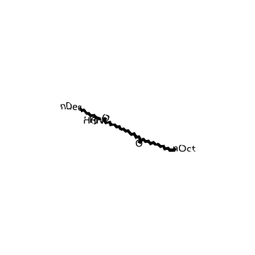 CCCCCCCC/C=C\CCCCCCCCCCCC(=O)CCCCCCCCCCCCCCC(=O)NC[C@@H](O)CCCCCCCCCCCCCCCC